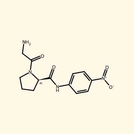 NCC(=O)N1CCC[C@@H]1C(=O)Nc1ccc([N+](=O)[O-])cc1